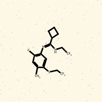 Cc1cc(F)c(/N=C(\NCC(F)(F)F)C2CCC2)cc1SCC(F)(F)F